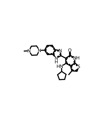 Cc1csc2[nH]c(=O)c(-c3nc4ccc(N5CCN(C)CC5)cc4[nH]3)c(NC3CCCC3)c12